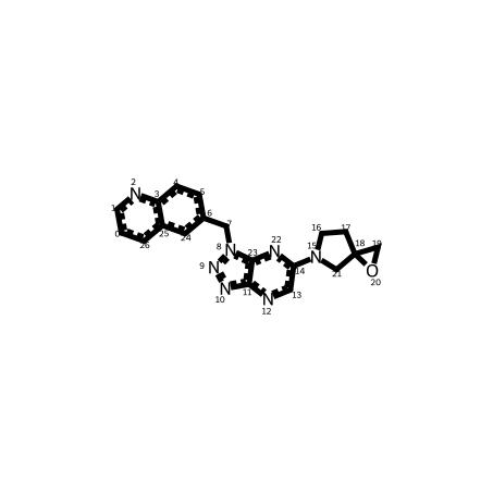 c1cnc2ccc(Cn3nnc4ncc(N5CCC6(CO6)C5)nc43)cc2c1